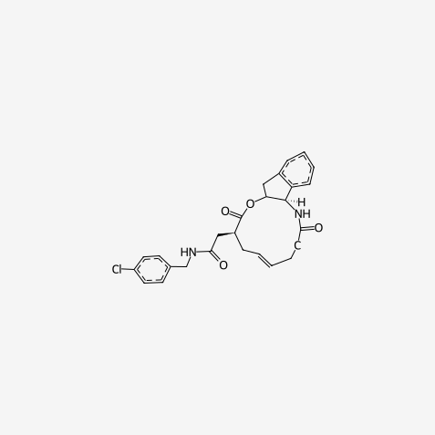 O=C(C[C@@H]1C/C=C/CCC(=O)N[C@@H]2c3ccccc3CC2OC1=O)NCc1ccc(Cl)cc1